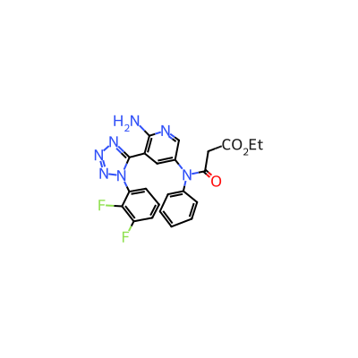 CCOC(=O)CC(=O)N(c1ccccc1)c1cnc(N)c(-c2nnnn2-c2cccc(F)c2F)c1